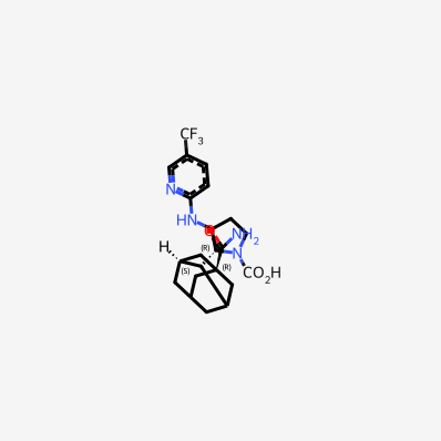 NC(=O)[C@]12CC3CC(C1)C([C@@H]1C(Nc4ccc(C(F)(F)F)cn4)CCN1C(=O)O)[C@@H](C3)C2